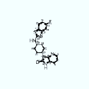 O=c1[nH]c2cccnc2n1[C@H]1CC[C@H](Nc2nc3cc(F)ccc3s2)CC1